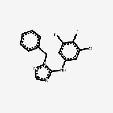 Fc1c(Cl)cc(Nc2ncnn2Cc2ccccc2)cc1Cl